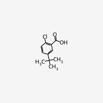 CC(C)(C)c1ccc(Cl)c(C(=O)O)c1